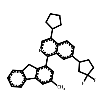 Cc1cc2c(c(-c3ncc(C4CCCC4)c4ccc(C5CCC(F)(F)C5)cc34)c1)Cc1ccccc1-2